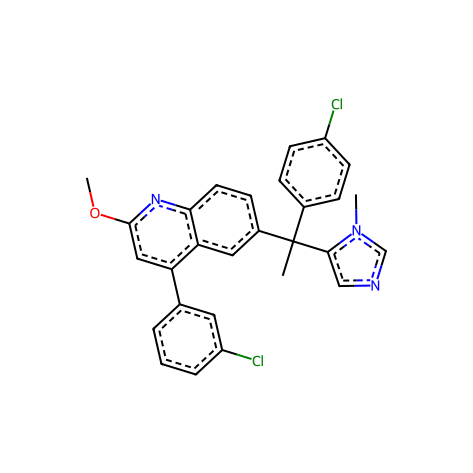 COc1cc(-c2cccc(Cl)c2)c2cc(C(C)(c3ccc(Cl)cc3)c3cncn3C)ccc2n1